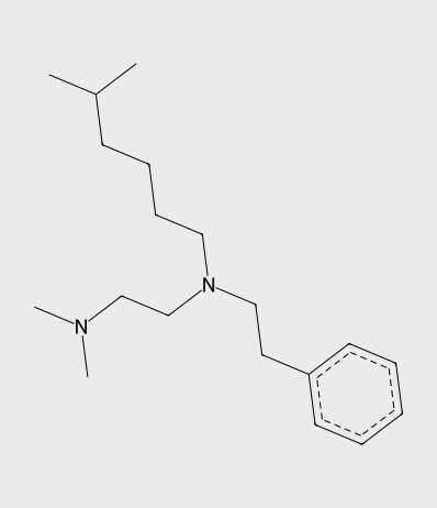 CC(C)CCCCN(CCc1ccccc1)CCN(C)C